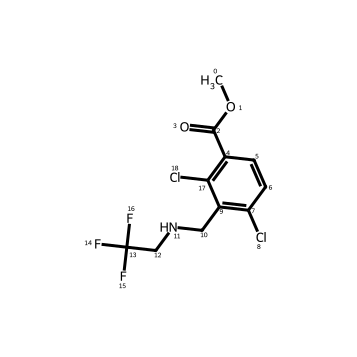 COC(=O)c1ccc(Cl)c(CNCC(F)(F)F)c1Cl